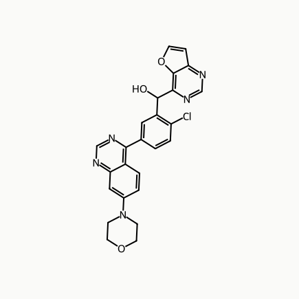 OC(c1cc(-c2ncnc3cc(N4CCOCC4)ccc23)ccc1Cl)c1ncnc2ccoc12